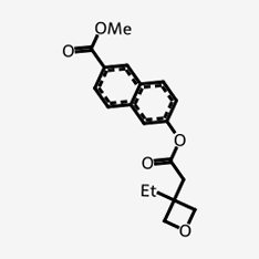 CCC1(CC(=O)Oc2ccc3cc(C(=O)OC)ccc3c2)COC1